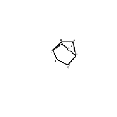 [C]1CC2CCC1CC2